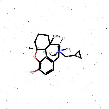 COC12CCC[C@@H]3Oc4c(O)ccc5c4[C@@]31CC[N+](C)(CC1CC1)[C@@H]2C5